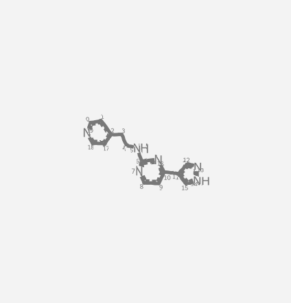 c1cc(CCNc2nccc(-c3cn[nH]c3)n2)ccn1